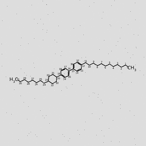 CCCCCCCCCCCCc1ccc(-c2ccc(C3CCC(CCCCCCCC)CC3)cc2)cc1